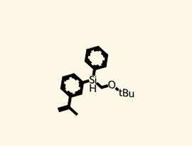 C=C(C)c1cccc([SiH](COC(C)(C)C)c2ccccc2)c1